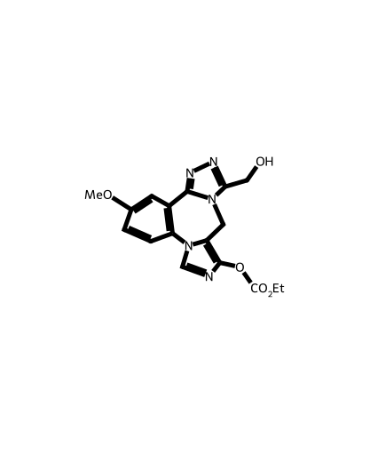 CCOC(=O)Oc1ncn2c1Cn1c(CO)nnc1-c1cc(OC)ccc1-2